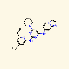 Cc1cc(CC(C)C)nc(Nc2nc(Nc3ccn4ccnc4c3)cc(N3CCCCC3)n2)c1